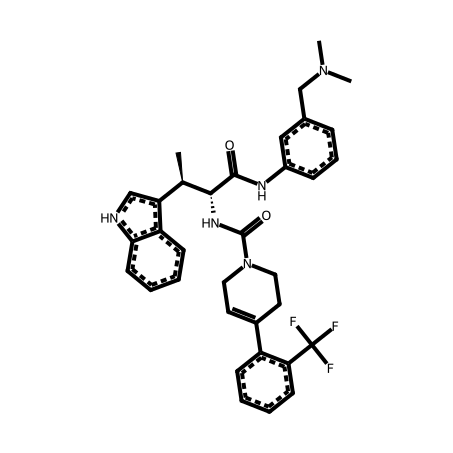 C[C@H](c1c[nH]c2ccccc12)[C@@H](NC(=O)N1CC=C(c2ccccc2C(F)(F)F)CC1)C(=O)Nc1cccc(CN(C)C)c1